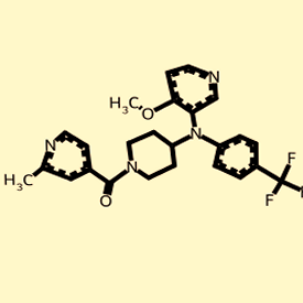 COc1ccncc1N(c1ccc(C(F)(F)F)cc1)C1CCN(C(=O)c2ccnc(C)c2)CC1